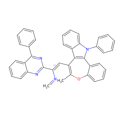 C=N/C(=C\C1=C(C)Oc2ccccc2-c2c1c1ccccc1n2-c1ccccc1)c1nc(-c2ccccc2)c2ccccc2n1